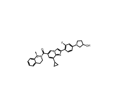 C[C@@H]1c2ccccc2CCN1C(=O)c1cc(C2CC2)c2nc(-c3ccc(N4CCC(O)C4)cc3F)cn2c1